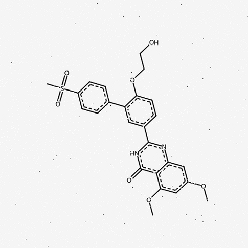 COc1cc(OC)c2c(=O)[nH]c(-c3ccc(OCCO)c(-c4ccc(S(C)(=O)=O)cc4)c3)nc2c1